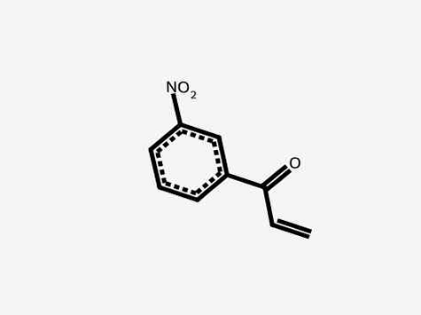 C=CC(=O)c1cccc([N+](=O)[O-])c1